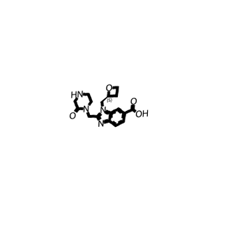 O=C(O)c1ccc2nc(CN3CCNCC3=O)n(C[C@@H]3CCO3)c2c1